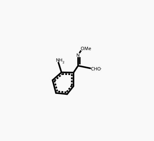 CON=C([C]=O)c1ccccc1N